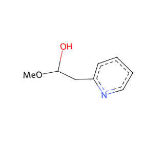 COC(O)Cc1ccccn1